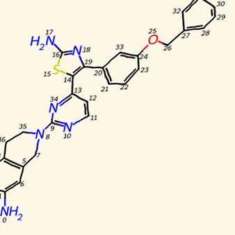 Nc1ccc2c(c1)CN(c1nccc(-c3sc(N)nc3-c3cccc(OCc4ccccc4)c3)n1)CC2